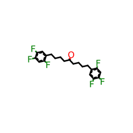 O=C(CCCCc1cc(F)c(F)cc1F)CCCCc1cc(F)c(F)cc1F